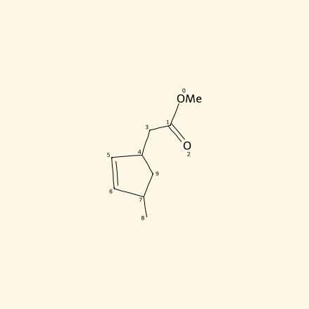 COC(=O)CC1C=CC(C)C1